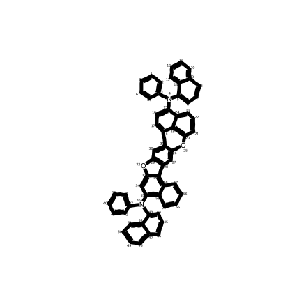 c1ccc(N(c2cccc3ccccc23)c2ccc3c4c(cccc24)Oc2cc4c(cc2-3)oc2cc(N(c3ccccc3)c3cccc5ccccc35)c3ccccc3c24)cc1